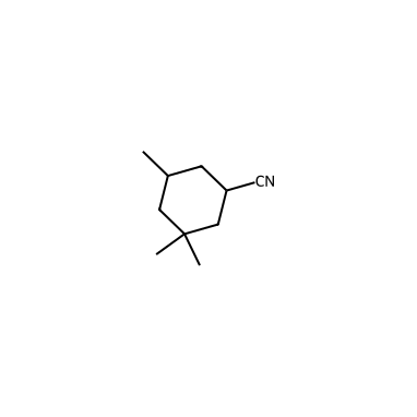 CC1CC(C#N)CC(C)(C)C1